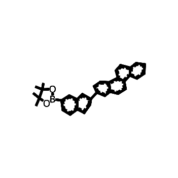 CC1(C)OB(c2ccc3ccc(-c4ccc5c(ccc6c7ccccc7ccc56)c4)cc3c2)OC1(C)C